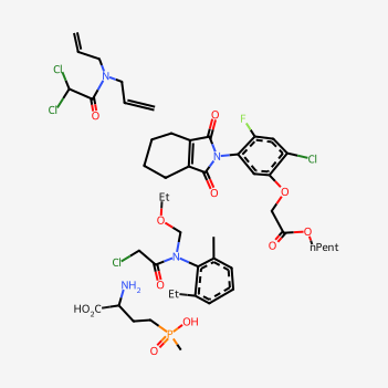 C=CCN(CC=C)C(=O)C(Cl)Cl.CCCCCOC(=O)COc1cc(N2C(=O)C3=C(CCCC3)C2=O)c(F)cc1Cl.CCOCN(C(=O)CCl)c1c(C)cccc1CC.CP(=O)(O)CCC(N)C(=O)O